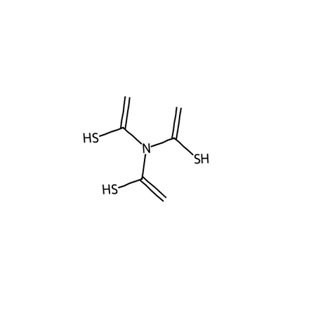 C=C(S)N(C(=C)S)C(=C)S